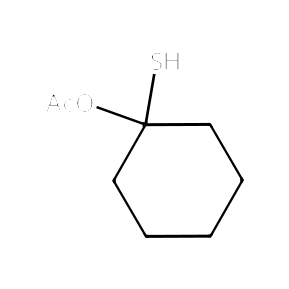 CC(=O)OC1(S)CCCCC1